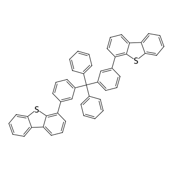 c1ccc(C(c2ccccc2)(c2cccc(-c3cccc4c3sc3ccccc34)c2)c2cccc(-c3cccc4c3sc3ccccc34)c2)cc1